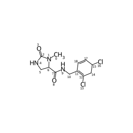 CN1C(=O)NCC1C(=O)NCC1=C(Cl)CC(Cl)C=C1